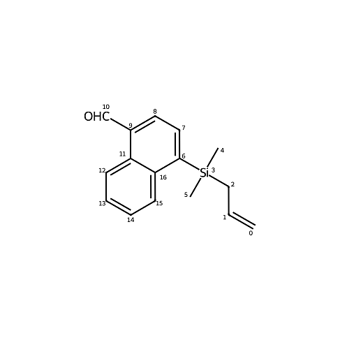 C=CC[Si](C)(C)c1ccc(C=O)c2ccccc12